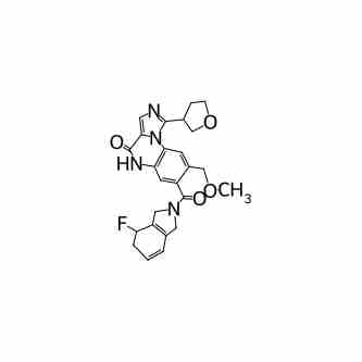 COCc1cc2c(cc1C(=O)N1CC3=C(C1)C(F)CC=C3)[nH]c(=O)c1cnc(C3CCOC3)n12